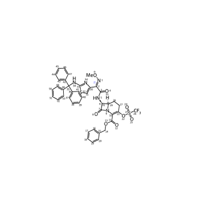 CO/N=C(/C(=O)N[C@@H]1C(=O)N2C(C(=O)OCc3ccccc3)=C(OS(=O)(=O)C(F)(F)F)CC[C@H]12)c1csc(NC(c2ccccc2)(c2ccccc2)c2ccccc2)n1